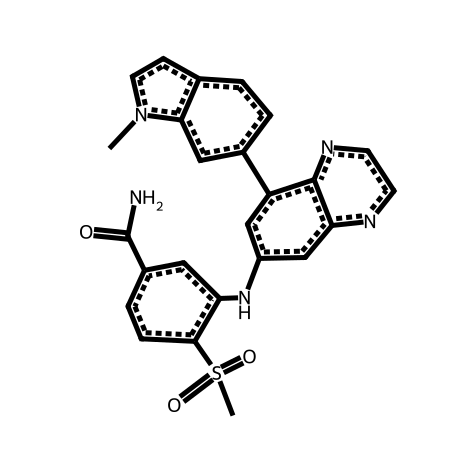 Cn1ccc2ccc(-c3cc(Nc4cc(C(N)=O)ccc4S(C)(=O)=O)cc4nccnc34)cc21